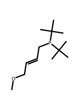 COCC=CCP(C(C)(C)C)C(C)(C)C